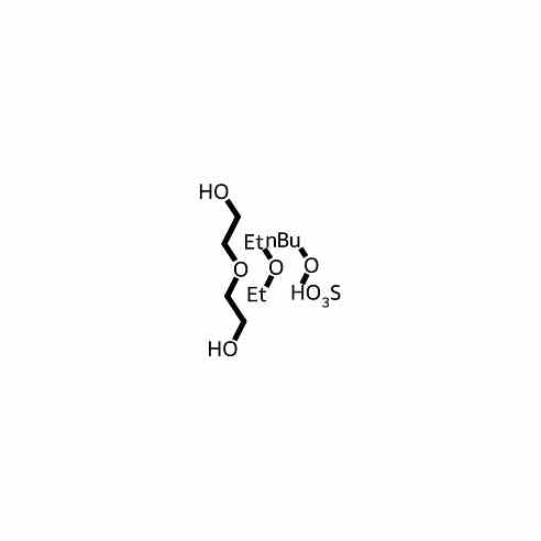 CCCCOS(=O)(=O)O.CCOCC.OCCOCCO